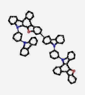 c1cc(-n2c3ccccc3c3cc(-c4ccc5c(c4)oc4c5c5ccccc5c5c6ccccc6n(-c6cccc(-n7c8ccccc8c8ccccc87)c6)c45)ccc32)cc(-n2c3ccccc3c3c4oc5ccccc5c4c4ccccc4c32)c1